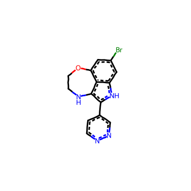 Brc1cc2c3c(c(-c4ccnnc4)[nH]c3c1)NCCO2